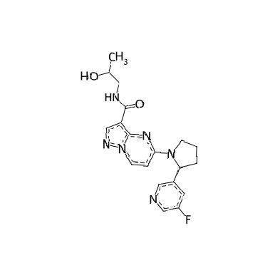 CC(O)CNC(=O)c1cnn2ccc(N3CCCC3c3cncc(F)c3)nc12